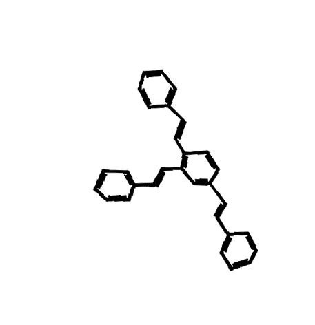 [c]1cc(C=Cc2ccccc2)cc(C=Cc2ccccc2)c1C=Cc1ccccc1